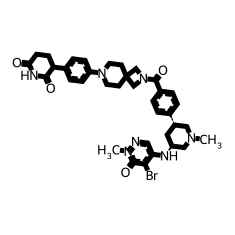 CN1C[C@H](Nc2cnn(C)c(=O)c2Br)C[C@H](c2ccc(C(=O)N3CC4(CCN(c5ccc(C6CCC(=O)NC6=O)cc5)CC4)C3)cc2)C1